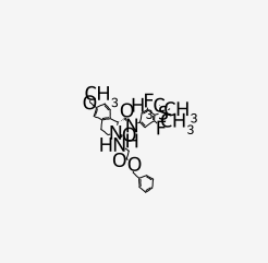 COc1ccc2c(c1)CCN(C(=O)NCC(=O)OCc1ccccc1)[C@H]2C(=O)Nc1cc(F)c(S(C)(C)C)c(F)c1